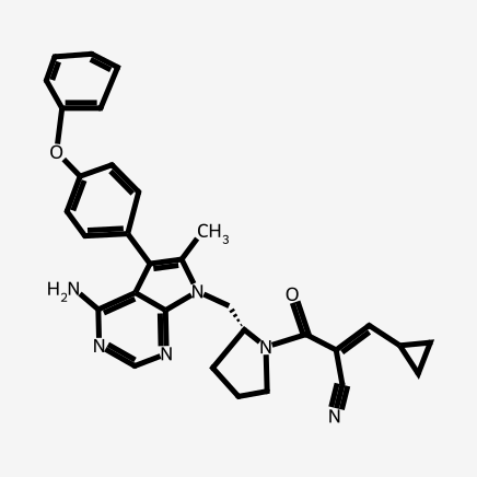 Cc1c(-c2ccc(Oc3ccccc3)cc2)c2c(N)ncnc2n1C[C@H]1CCCN1C(=O)C(C#N)=CC1CC1